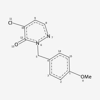 COc1ccc(Cn2nccc(Cl)c2=O)cc1